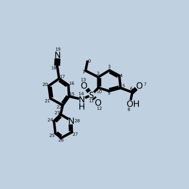 CCc1ccc(C(=O)O)cc1S(=O)(=O)Nc1cc(C#N)ccc1-c1ccccn1